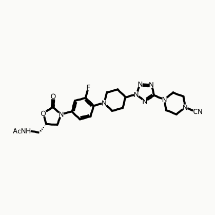 CC(=O)NC[C@H]1CN(c2ccc(N3CCC(n4nnc(N5CCN(C#N)CC5)n4)CC3)c(F)c2)C(=O)O1